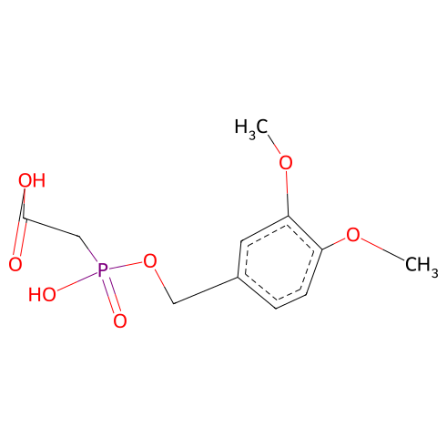 COc1ccc(COP(=O)(O)CC(=O)O)cc1OC